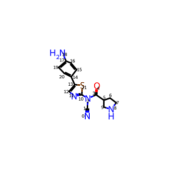 N#CN(C(=O)C1CCNC1)c1ncc(-c2ccc(N)cc2)s1